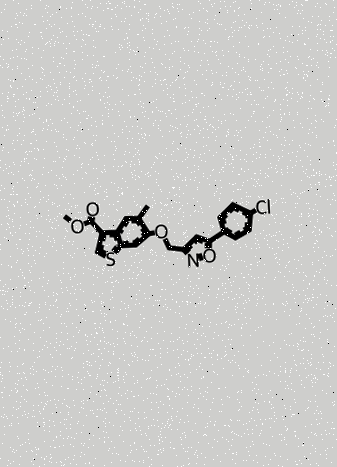 COC(=O)c1csc2cc(OCc3cc(-c4ccc(Cl)cc4)on3)c(C)cc12